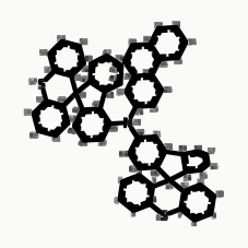 c1ccc2c(c1)Sc1ccccc1C21c2ccccc2-c2cc(N(c3ccc4c(ccc5ccccc54)c3)c3cccc4c3-c3ccccc3C43c4ccccc4Sc4ccccc43)ccc21